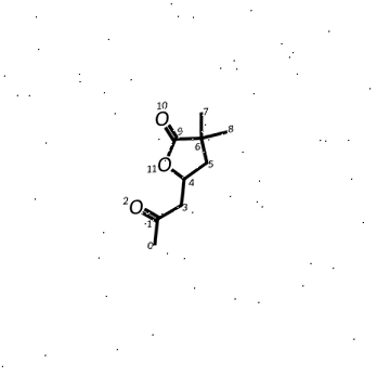 CC(=O)CC1CC(C)(C)C(=O)O1